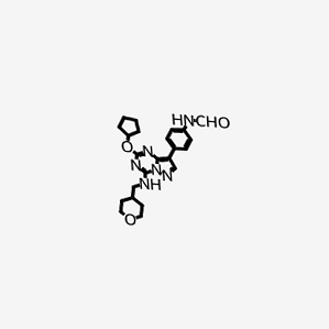 O=CNc1ccc(-c2cnn3c(NCC4CCOCC4)nc(OC4CCCC4)nc23)cc1